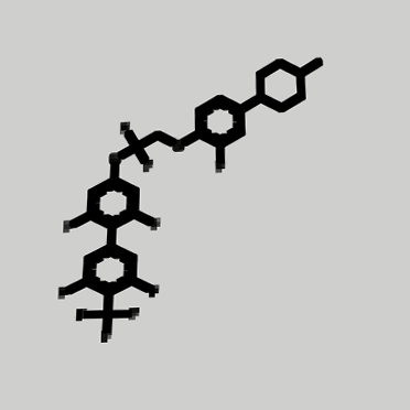 CC1CCC(c2ccc(OCC(F)(F)Oc3cc(F)c(-c4cc(F)c(C(F)(F)F)c(F)c4)c(F)c3)c(F)c2)CC1